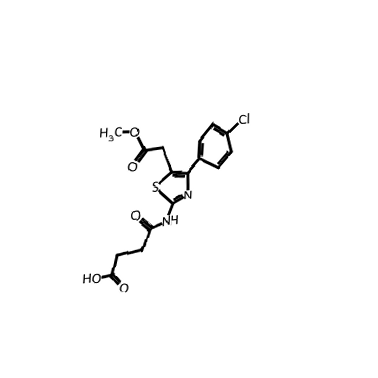 COC(=O)Cc1sc(NC(=O)CCC(=O)O)nc1-c1ccc(Cl)cc1